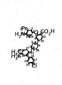 CC(C)c1cc(Oc2cc(N3CCN(CC4=C(c5ccc(Cl)cc5)CC(C)(C)CC4)CC3)ccc2C(=O)O)cnc1N